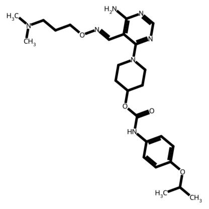 CC(C)Oc1ccc(NC(=O)OC2CCN(c3ncnc(N)c3/C=N/OCCCN(C)C)CC2)cc1